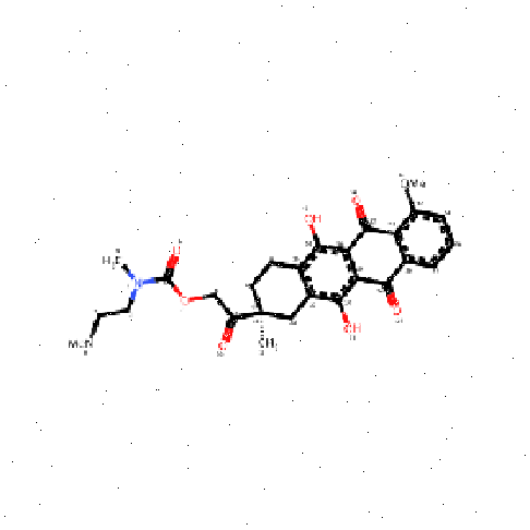 CNCCN(C)C(=O)OCC(=O)[C@@]1(C)CCc2c(O)c3c(c(O)c2C1)C(=O)c1cccc(OC)c1C3=O